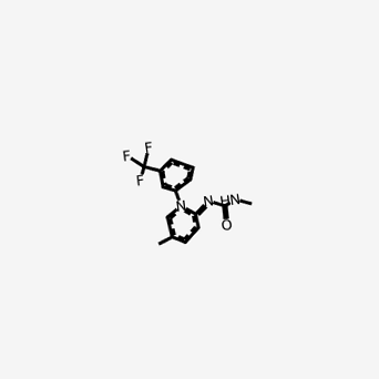 CNC(=O)/N=c1\ccc(C)cn1-c1cccc(C(F)(F)F)c1